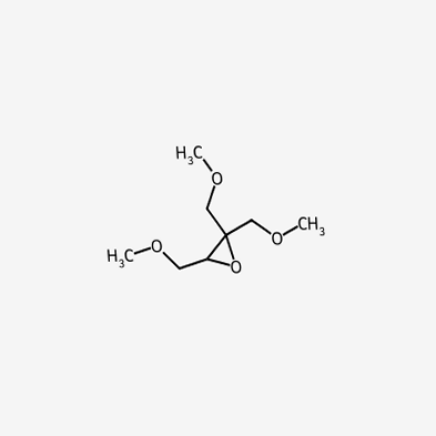 COCC1OC1(COC)COC